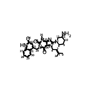 CC(C)=CCn1c(N2CCCC(N)C2)nc2c1c(=O)n(Cc1cc(=O)[nH]c3ccccc13)c(=O)n2C